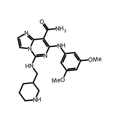 COc1cc(Nc2nc(NCC3CCCNC3)n3ccnc3c2C(N)=O)cc(OC)c1